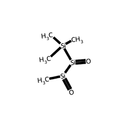 C[Si](=O)[Si](=O)[Si](C)(C)C